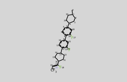 CC1CCC(c2ccc(-c3ccc(C4CCC(/C(F)=C/C(F)(F)F)CC4)c(F)c3)c(F)c2)CC1